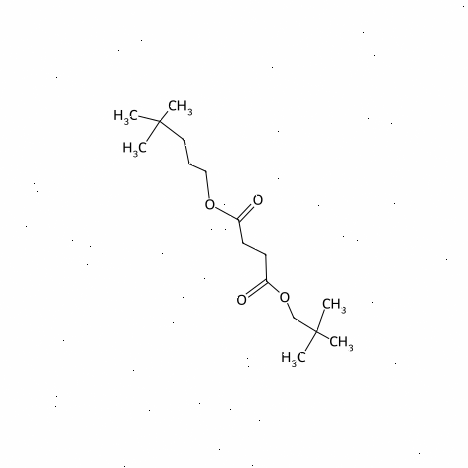 CC(C)(C)CCCOC(=O)CCC(=O)OCC(C)(C)C